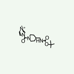 C[n+]1ccn(C(=O)N2CCC(CNC(=O)OC(C)(C)C)CC2)c1